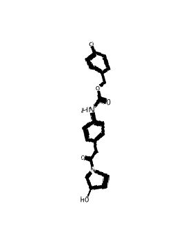 O=C(Nc1ccc(CC(=O)N2CC[C@@H](O)C2)cc1)OCc1ccc(Cl)cc1